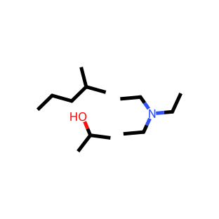 CC(C)O.CCCC(C)C.CCN(CC)CC